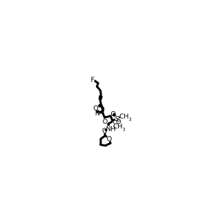 C[C@@](CCc1cc(C#CCCCF)on1)(C(=O)NOC1CCCCO1)S(C)(=O)=O